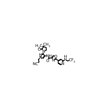 CC1(C)CCN(c2nn(CCC#N)cc2NC(=O)c2coc(-c3ccnc(NCC(F)(F)F)c3)n2)C1=O